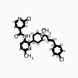 Cc1ccc(NC(=O)c2ccnc(Cl)c2)c(C2CC[N+](C)(C/C=C/c3ccc(Cl)cc3)CC2)n1